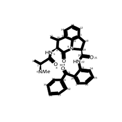 CN[C@@H](C)C(=O)N[C@@H]1C(=O)N2c3c(cccc3C1C)C[C@H]2C(=O)Nc1ccccc1C(=O)c1ccccc1